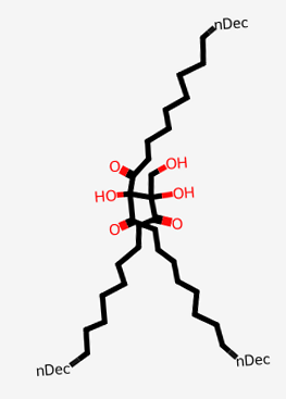 CCCCCCCCCCCCCCCCCCC(=O)C(O)(CO)C(O)(C(=O)CCCCCCCCCCCCCCCCCC)C(=O)CCCCCCCCCCCCCCCCCC